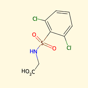 O=C(O)CNS(=O)(=O)c1c(Cl)cccc1Cl